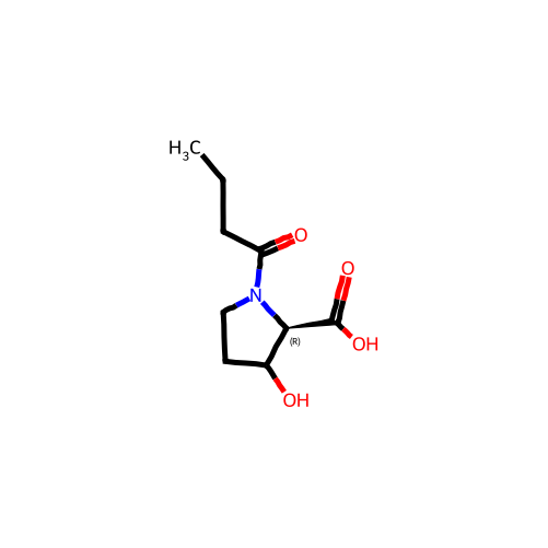 CCCC(=O)N1CCC(O)[C@@H]1C(=O)O